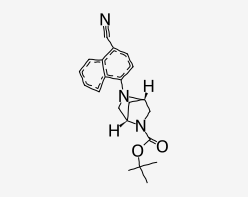 CC(C)(C)OC(=O)N1C[C@@H]2C[C@H]1CN2c1ccc(C#N)c2ccccc12